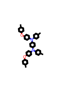 Cc1ccc(Oc2ccc(N(c3ccc(C)cc3)c3ccc(N(c4ccc(C)cc4)c4ccc(Oc5ccc(C)cc5)cc4)cc3)cc2)cc1